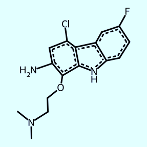 CN(C)CCOc1c(N)cc(Cl)c2c1[nH]c1ccc(F)cc12